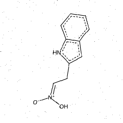 [O-][N+](O)=CCc1cc2ccccc2[nH]1